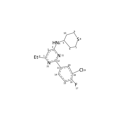 CCc1cc(NC2CCSCC2)nc(-c2ccc(F)c(Cl)c2)n1